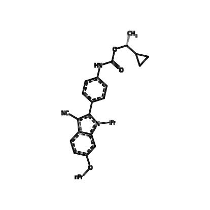 CCCOc1ccc2c(C#N)c(-c3ccc(NC(=O)O[C@H](C)C4CC4)cc3)n(C(C)C)c2c1